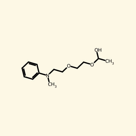 CC(O)OCCOCCN(C)c1ccccc1